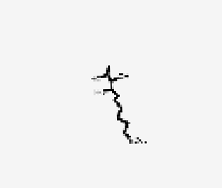 CCCCCCCCCCCCCCC(O)C(O)C(C)O